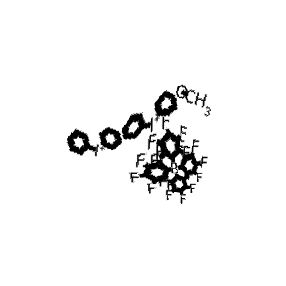 COc1ccc([I+]c2ccccc2)cc1.Fc1c(F)c(F)c([B-](c2c(F)c(F)c(F)c(F)c2F)(c2c(F)c(F)c(F)c(F)c2F)c2c(F)c(F)c(F)c(F)c2F)c(F)c1F.c1ccc([I+]c2ccccc2)cc1